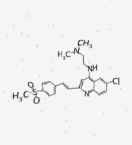 CN(C)CCNc1cc(C=Cc2ccc(S(C)(=O)=O)cc2)nc2ccc(Cl)cc12